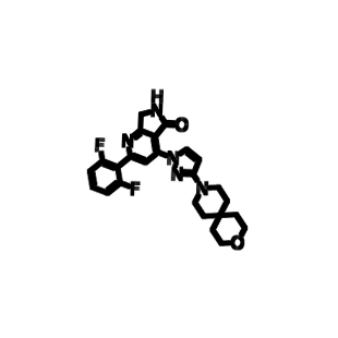 O=C1NCc2nc(-c3c(F)cccc3F)cc(-n3ccc(N4CCC5(CCOCC5)CC4)n3)c21